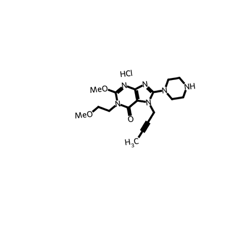 CC#CCn1c(N2CCNCC2)nc2nc(OC)n(CCOC)c(=O)c21.Cl